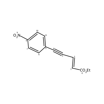 CCOC(=O)/C=C/C#Cc1ccc([N+](=O)[O-])cc1